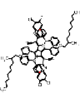 CCCCCCCCC(C)COc1cccc(-c2c3/c(=C(\C#N)c4cnc5cc(Cl)c(Cl)cc5n4)n(B(c4ccccc4)c4ccccc4)c(-c4cccc(OCC(C)CCCCCCCC)c4)c3/c(=C(\C#N)c3cnc4cc(Cl)c(Cl)cc4n3)n2B(c2ccccc2)c2ccccc2)c1